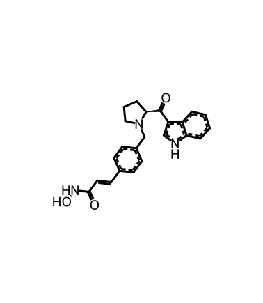 O=C(/C=C/c1ccc(CN2CCC[C@H]2C(=O)c2c[nH]c3ccccc23)cc1)NO